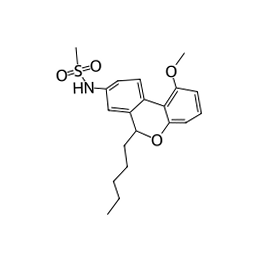 CCCCCC1Oc2cccc(OC)c2-c2ccc(NS(C)(=O)=O)cc21